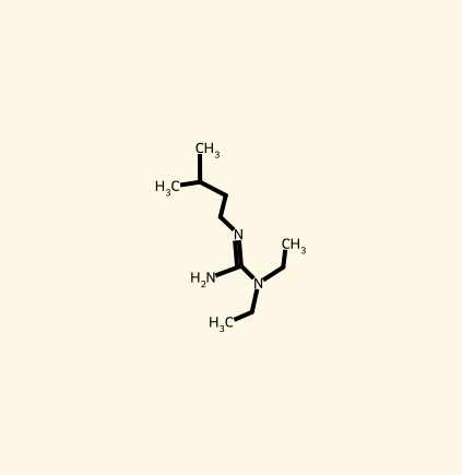 CCN(CC)C(N)=NCCC(C)C